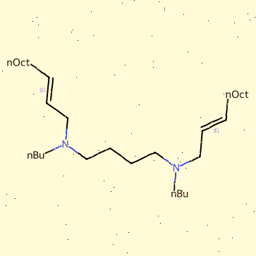 CCCCCCCC/C=C/CN(CCCC)CCCCN(C/C=C/CCCCCCCC)CCCC